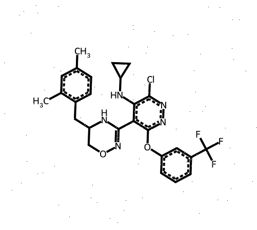 Cc1ccc(CC2CON=C(c3c(Oc4cccc(C(F)(F)F)c4)nnc(Cl)c3NC3CC3)N2)c(C)c1